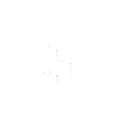 CCC[CH2][Mo+2][CH2]C.NC(=S)[S-].NC(=S)[S-]